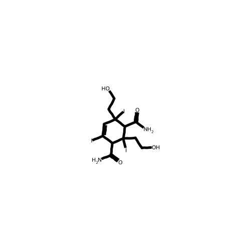 NC(=O)C1C(I)=CC(I)(CCO)C(C(N)=O)C1(I)CCO